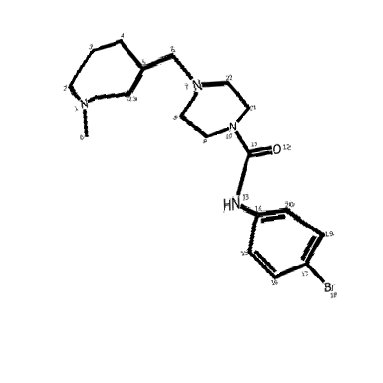 CN1CCCC(CN2CCN(C(=O)Nc3ccc(Br)cc3)CC2)C1